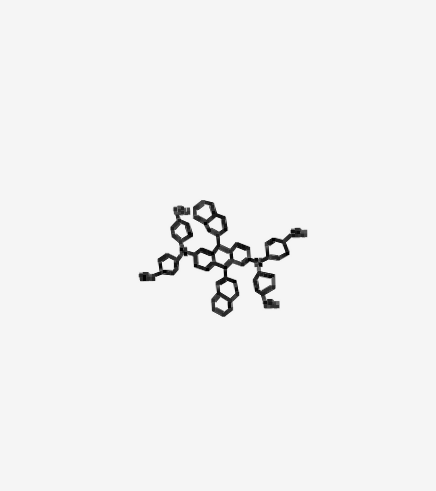 CC(C)(C)c1ccc(N(C2=CCC(C(C)(C)C)C=C2)c2ccc3c(-c4ccc5ccccc5c4)c4cc(N(c5ccc(C(C)(C)C)cc5)c5ccc(C(C)(C)C)cc5)ccc4c(C4=Cc5ccccc5CC4)c3c2)cc1